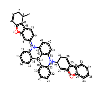 CC1CC=Cc2oc3cc(N4c5ccccc5B5c6ccccc6N(C6C=c7oc8ccccc8c7=CC6)c6cccc4c65)ccc3c21